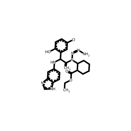 C=C(C(Nc1ccc2[nH]cnc2c1)c1cc(Cl)ccc1O)N(/N=N\N)C1CCCCC1C(=O)OCC